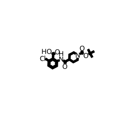 CC(C)(C)OC(=O)N1CCC(C(=O)Nc2cccc(Cl)c2C(=O)O)CC1